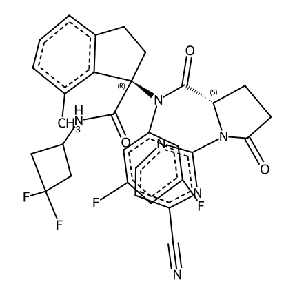 Cc1cccc2c1[C@](C(=O)NC1CC(F)(F)C1)(N(C(=O)[C@@H]1CCC(=O)N1c1nccc(C#N)n1)c1cc(F)cc(F)c1)CC2